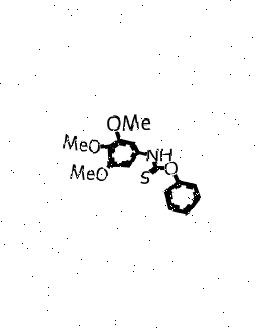 COc1cc(NC(=S)Oc2ccccc2)cc(OC)c1OC